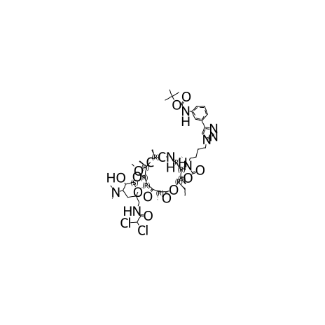 CC[C@H]1OC(=O)[C@H](C)C(=O)[C@H](C)[C@@H](O[C@@H]2OC(CNC(=O)C(Cl)Cl)CC(N(C)C)C2O)[C@](C)(OC)C[C@@H](C)CN[C@H](C)[C@H]2N(CCCCn3cc(-c4cccc(NC(=O)OC(C)(C)C)c4)nn3)C(=O)O[C@]12C